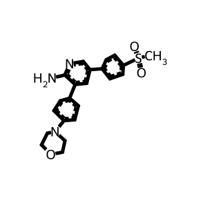 CS(=O)(=O)c1ccc(-c2cnc(N)c(-c3ccc(N4CCOCC4)cc3)c2)cc1